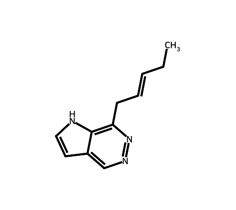 CCC=CCc1nncc2cc[nH]c12